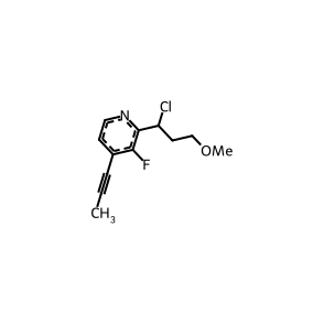 CC#Cc1ccnc(C(Cl)CCOC)c1F